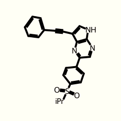 CC(C)S(=O)(=O)c1ccc(-c2cnc3[nH]cc(C#Cc4ccccc4)c3n2)cc1